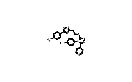 Cc1ccc(-c2noc(CCSc3nnc(-c4ccncc4)n3-c3ccc(O)cc3)n2)cc1